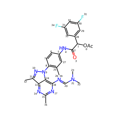 CC(=O)OC(C(=O)Nc1ccc(-n2nc(C)c3nc(C)nc(/N=C/N(C)C)c32)c(C)c1)c1cc(F)cc(F)c1